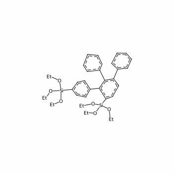 CCO[Si](OCC)(OCC)c1ccc(-c2c([Si](OCC)(OCC)OCC)ccc(-c3ccccc3)c2-c2ccccc2)cc1